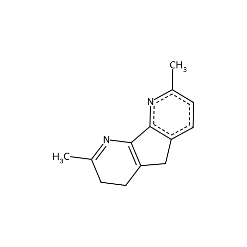 CC1=NC2=C(CC1)Cc1ccc(C)nc12